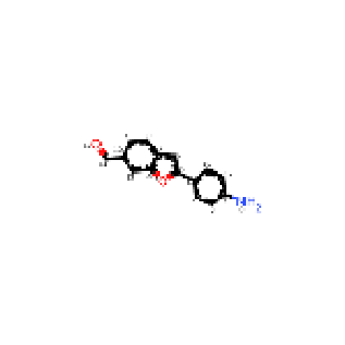 Nc1ccc(-c2cc3ccc(C=O)cc3o2)cc1